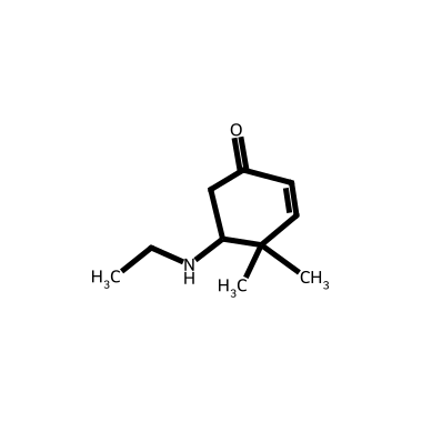 CCNC1CC(=O)C=CC1(C)C